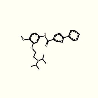 COc1ccc(NC(=O)c2ccc(-c3ccccc3)cc2)cc1OCCN(C(C)C)C(C)C